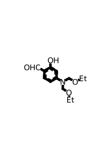 CCOCN(COCC)c1ccc(C=O)c(O)c1